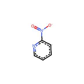 O=[N+]([O-])c1[c]cccn1